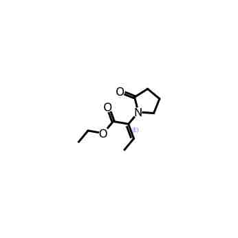 C/C=C(\C(=O)OCC)N1CCCC1=O